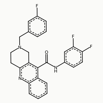 O=C(Nc1ccc(F)c(F)c1)c1c2c(nc3ccccc13)CCN(Cc1cccc(F)c1)C2